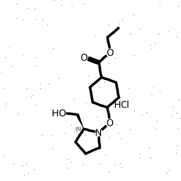 CCOC(=O)C1CCC(ON2CCC[C@H]2CO)CC1.Cl